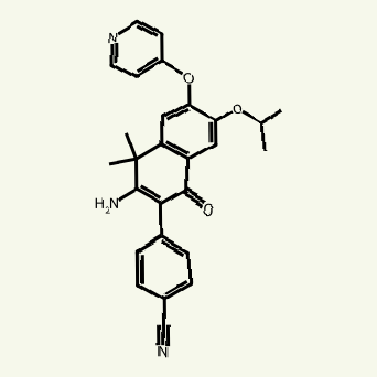 CC(C)Oc1cc2c(cc1Oc1ccncc1)C(C)(C)C(N)=C(c1ccc(C#N)cc1)C2=O